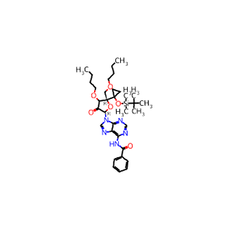 CCCCOC[C@@]1(C2(O[Si](C)(C)C(C)(C)C)CC2)O[C@@H](n2cnc3c(NC(=O)c4ccccc4)ncnc32)C(=O)C1OCCCC